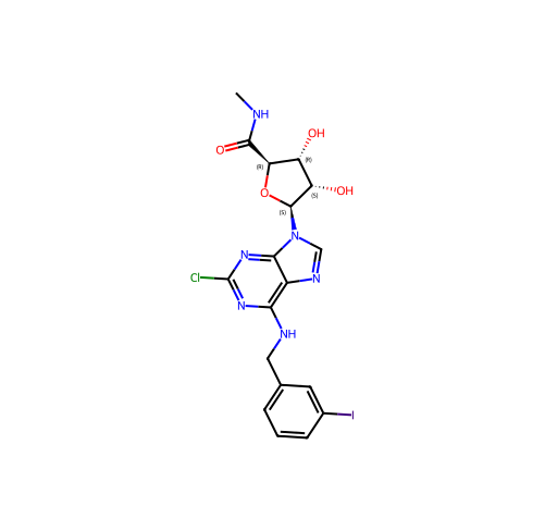 CNC(=O)[C@@H]1O[C@H](n2cnc3c(NCc4cccc(I)c4)nc(Cl)nc32)[C@@H](O)[C@H]1O